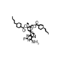 C#C[C@]1(COC(=O)C2CCC(CCCC)CC2)O[C@@H](n2cnc3c(N)nc(F)nc32)C[C@@H]1OC(=O)C1CCC(CCCC)CC1